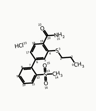 CCCSc1cc(-c2ccccc2S(C)(=O)=O)ccc1C(N)=O.Cl